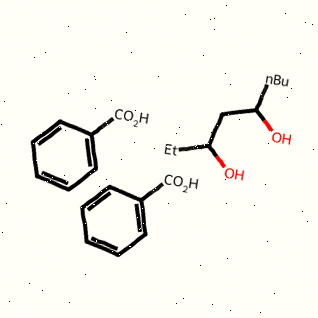 CCCCC(O)CC(O)CC.O=C(O)c1ccccc1.O=C(O)c1ccccc1